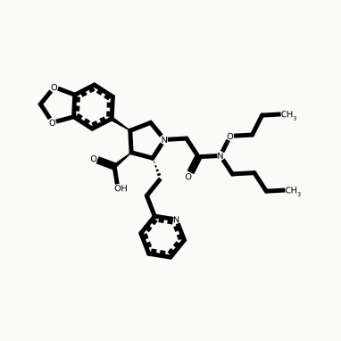 CCCCN(OCCC)C(=O)CN1C[C@H](c2ccc3c(c2)OCO3)[C@H](C(=O)O)[C@H]1CCc1ccccn1